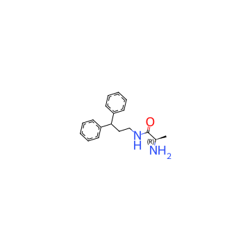 C[C@@H](N)C(=O)NCCC(c1ccccc1)c1ccccc1